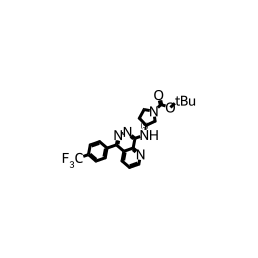 CC(C)(C)OC(=O)N1CC[C@H](Nc2nnc(-c3ccc(C(F)(F)F)cc3)c3cccnc23)C1